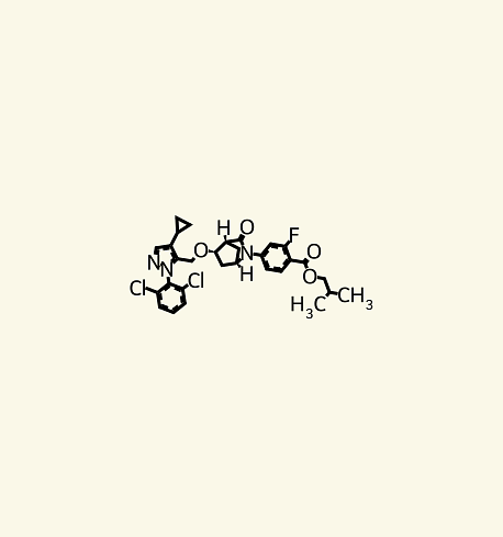 CC(C)COC(=O)c1ccc(N2C(=O)[C@@H]3C[C@H]2C[C@H]3OCc2c(C3CC3)cnn2-c2c(Cl)cccc2Cl)cc1F